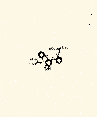 CCCCCCCCCCC(CCCCCCCC)COc1ccccc1Oc1cc2nnsc2cc1Oc1ccccc1OCC(CCCCCCCC)CCCCCCCCCC